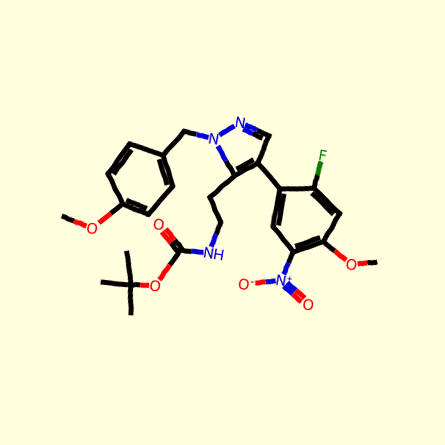 COc1ccc(Cn2ncc(-c3cc([N+](=O)[O-])c(OC)cc3F)c2CCNC(=O)OC(C)(C)C)cc1